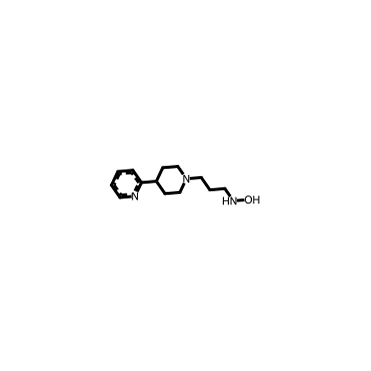 ONCCCN1CCC(c2ccccn2)CC1